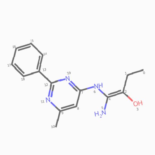 CC/C(O)=C(/N)Nc1cc(C)nc(-c2ccccc2)n1